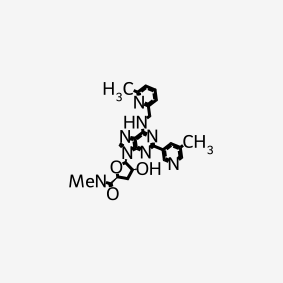 CNC(=O)[C@@H]1C[C@@H](O)[C@H](n2cnc3c(NCc4cccc(C)n4)nc(-c4cncc(C)c4)nc32)O1